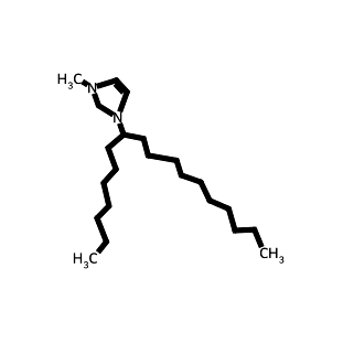 CCCCCCCCCCC(CCCCCCC)N1C=CN(C)C1